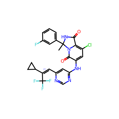 CC1(c2cccc(F)c2)NC(=O)c2c(Cl)cc(Nc3cc(/C=C(/C4CC4)C(F)(F)F)ncn3)c(=O)n21